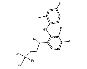 CCc1ccc(Nc2c(C(O)CO[Si](C(C)C)(C(C)C)C(C)C)ccc(F)c2F)c(F)c1